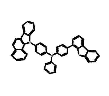 c1ccc(N(c2ccc(-c3cccc4c3sc3ccccc34)cc2)c2ccc(-n3c4ccccc4c4ccc5ccccc5c43)cc2)cc1